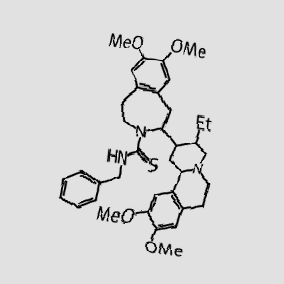 CCC1CN2CCc3cc(OC)c(OC)cc3C2CC1C1Cc2cc(OC)c(OC)cc2CCN1C(=S)NCc1ccccc1